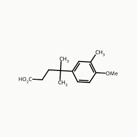 COc1ccc(C(C)(C)CCC(=O)O)cc1C